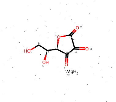 O=C1O[C@H]([C@@H](O)CO)C(=O)C1=O.[MgH2]